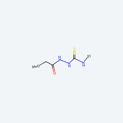 CCNC(=S)NNC(=O)COC